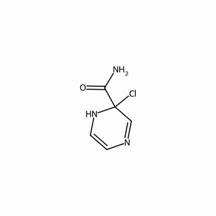 NC(=O)C1(Cl)C=NC=CN1